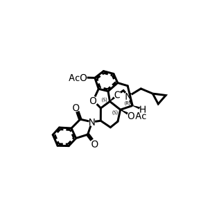 CC(=O)Oc1ccc2c3c1OC1C(N4C(=O)c5ccccc5C4=O)CC[C@@]4(OC(C)=O)[C@@H](C2)N(CC2CC2)CC[C@]314